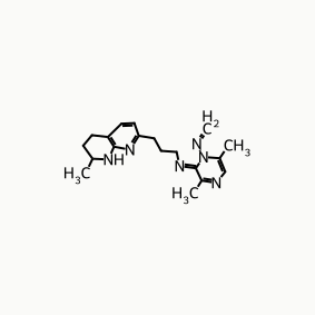 C=Nn1c(C)cnc(C)/c1=N/CCCc1ccc2c(n1)NC(C)CC2